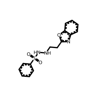 O=S(=O)(NNCCc1nc2ccccc2o1)c1ccccc1